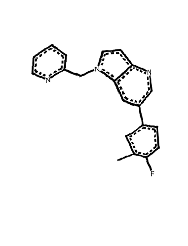 Cc1cc(-c2cnc3ccn(Cc4ccccn4)c3c2)ccc1F